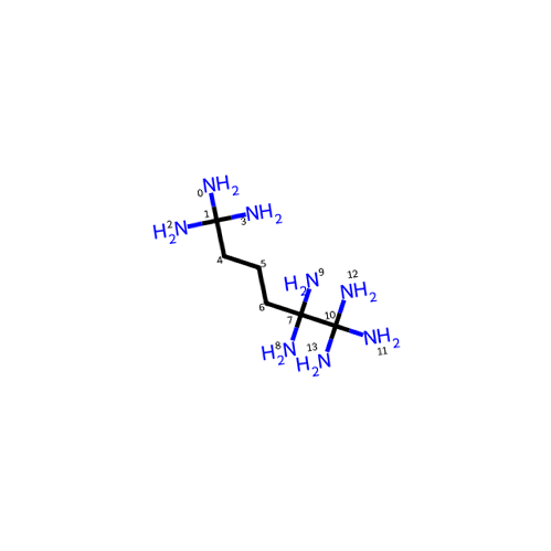 NC(N)(N)CCCC(N)(N)C(N)(N)N